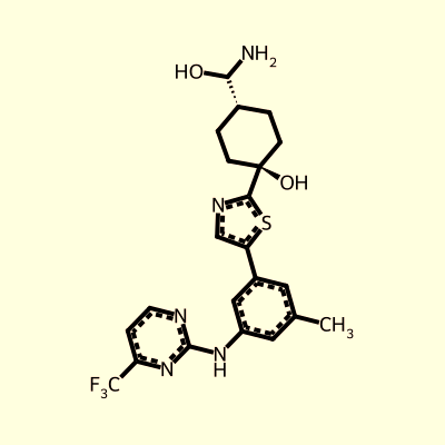 Cc1cc(Nc2nccc(C(F)(F)F)n2)cc(-c2cnc([C@]3(O)CC[C@H](C(N)O)CC3)s2)c1